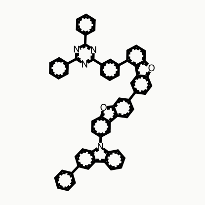 c1ccc(-c2ccc3c(c2)c2ccccc2n3-c2ccc3oc4cc(-c5ccc6oc7cccc(-c8cccc(-c9nc(-c%10ccccc%10)nc(-c%10ccccc%10)n9)c8)c7c6c5)ccc4c3c2)cc1